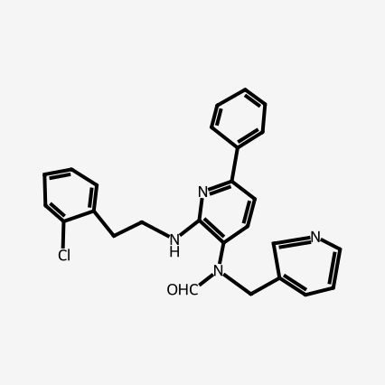 O=CN(Cc1cccnc1)c1ccc(-c2ccccc2)nc1NCCc1ccccc1Cl